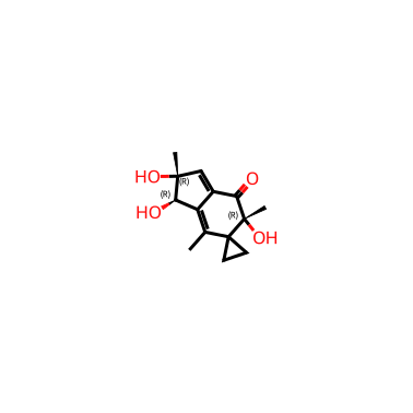 CC1=C2C(=C[C@@](C)(O)[C@@H]2O)C(=O)[C@](C)(O)C12CC2